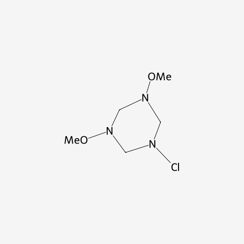 CON1CN(Cl)CN(OC)C1